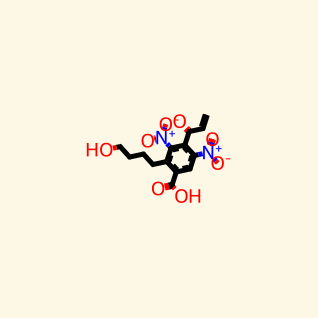 C=CC(=O)c1c([N+](=O)[O-])cc(C(=O)O)c(CCCCO)c1[N+](=O)[O-]